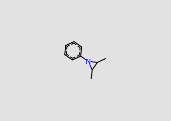 CC1C(C)N1c1ccccc1